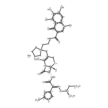 CCn1cc(C(=O)NCC[N+]2(CC3=C(C(=O)[O-])N4C(=O)[C@@H](NC(=O)C(=NO[C@@H](CC(=O)O)C(=O)O)c5csc(N)n5)[C@H]4SC3)CCCC2)c(=O)c2c(Cl)c(O)c(O)cc21.[Na]